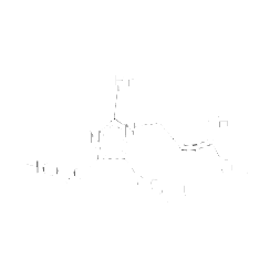 CC(C)=CCn1c(Br)nc(C(=O)O)c1C(=O)O